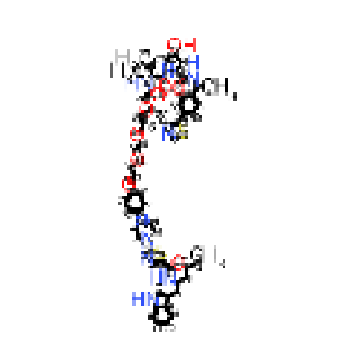 CCCCC(Cc1c[nH]c2ccccc12)NC(=O)c1cnc(N2CCN(c3ccc(OCCOCCOCCOCC(=O)NC(C(=O)N4C[C@H](O)C[C@H]4C(=O)N[C@@H](C)c4ccc(-c5scnc5C)cc4)C(C)(C)C)cc3)CC2)s1